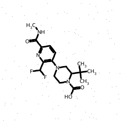 CNC(=O)c1ccc(N2CCN(C(=O)O)C(C(C)(C)C)C2)c(C(F)F)n1